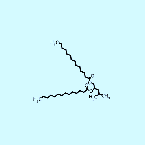 CCCCCCCCCCCCCC(=O)OCC(CC(C)C)OC(=O)CCCCCCCCCCCCC